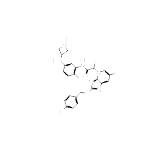 CCC(C(=O)Nc1cc(NC2CNC2)ccc1C)n1cc(Cl)cc2nc(SCc3ccc(F)cc3)nc1-2